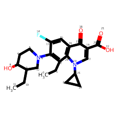 CCc1c(N2CCC(O)C(CC)C2)c(F)cc2c(=O)c(C(=O)O)cn(C3CC3)c12